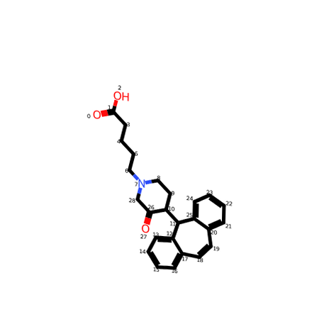 O=C(O)CCCCN1CCC(C2c3ccccc3C=Cc3ccccc32)C(=O)C1